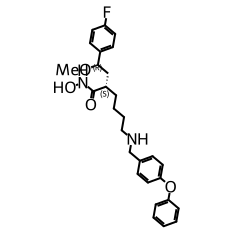 CO[C@H](C[C@H](CCCCNCc1ccc(Oc2ccccc2)cc1)C(=O)NO)c1ccc(F)cc1